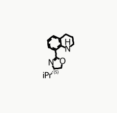 CC(C)[C@H]1COC(c2cccc3c2NCCC3)=N1